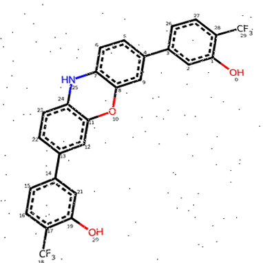 Oc1cc(-c2ccc3c(c2)Oc2cc(-c4ccc(C(F)(F)F)c(O)c4)ccc2N3)ccc1C(F)(F)F